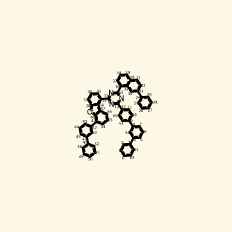 c1ccc(-c2cccc(-c3ccc(-c4nc(-c5cccc6ccc(-c7ccccc7)cc56)nc(-c5cccc6oc7c(-c8cccc(-c9ccccc9)c8)cccc7c56)n4)cc3)c2)cc1